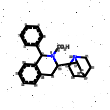 O=C(O)N1C(c2ccccc2)c2ccccc2CC1C1CC2CCN1CC2